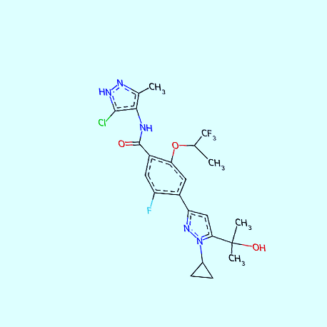 Cc1n[nH]c(Cl)c1NC(=O)c1cc(F)c(-c2cc(C(C)(C)O)n(C3CC3)n2)cc1OC(C)C(F)(F)F